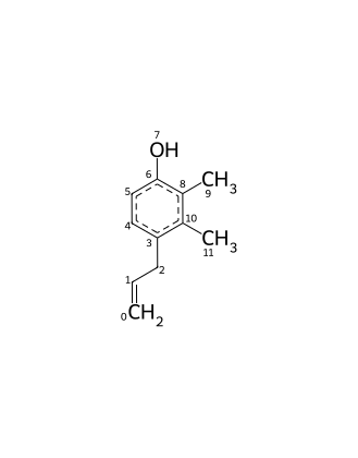 C=CCc1ccc(O)c(C)c1C